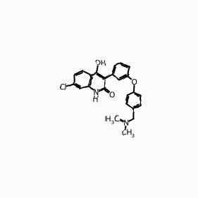 CN(C)Cc1ccc(Oc2cccc(-c3c(O)c4ccc(Cl)cc4[nH]c3=O)c2)cc1